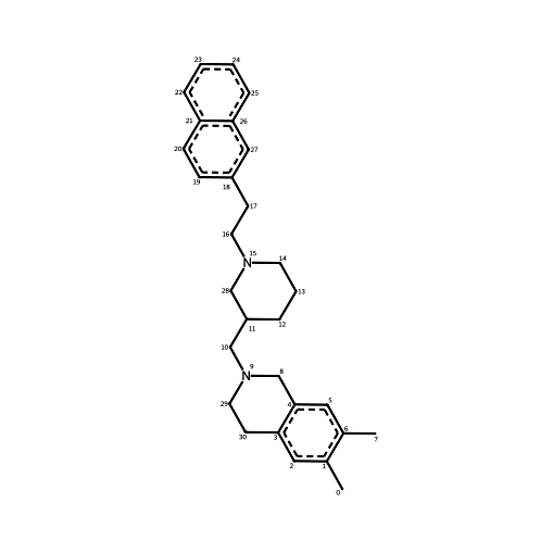 Cc1cc2c(cc1C)CN(CC1CCCN(CCc3ccc4ccccc4c3)C1)CC2